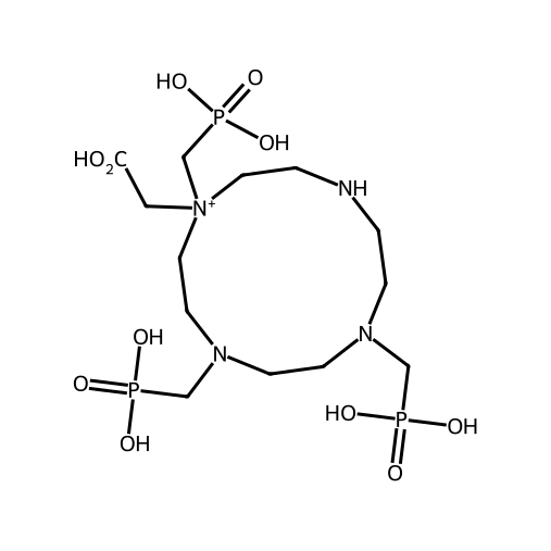 O=C(O)C[N+]1(CP(=O)(O)O)CCNCCN(CP(=O)(O)O)CCN(CP(=O)(O)O)CC1